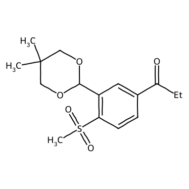 CCC(=O)c1ccc(S(C)(=O)=O)c(C2OCC(C)(C)CO2)c1